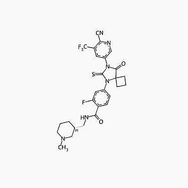 CN1CCC[C@H](CNC(=O)c2ccc(N3C(=S)N(c4cnc(C#N)c(C(F)(F)F)c4)C(=O)C34CCC4)cc2F)C1